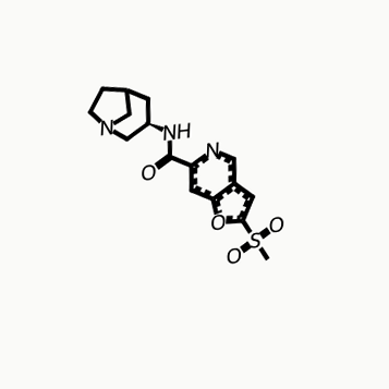 CS(=O)(=O)c1cc2cnc(C(=O)N[C@@H]3CC4CCN(C4)C3)cc2o1